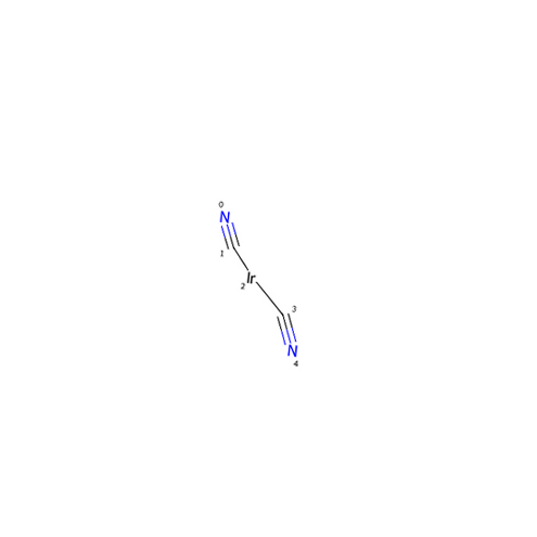 N#[C][Ir][C]#N